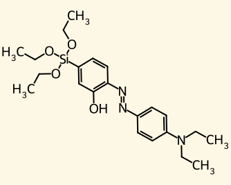 CCO[Si](OCC)(OCC)c1ccc(/N=N/c2ccc(N(CC)CC)cc2)c(O)c1